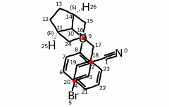 N#Cc1cc(Br)ccc1OC1[C@@H]2CC[C@H]1CN(Cc1ccccc1)C2